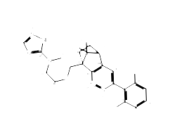 CC1(C)[C@H]2CC[C@]1([C@H]1CN(c3ncn[nH]3)CCO1)c1nnc(-c3c(F)cccc3F)cc12